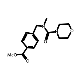 COC(=O)c1ccc(CN(C)C(=O)N2CCOCC2)cc1